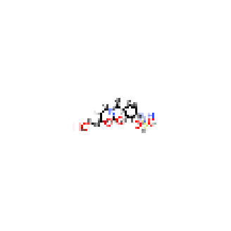 C[C@@H](c1ccc(NS(C)(=O)=O)cc1)N1CCC(CCO)OC1=O